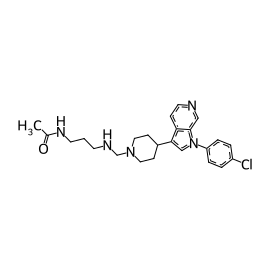 CC(=O)NCCCNCN1CCC(c2cn(-c3ccc(Cl)cc3)c3cnccc23)CC1